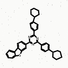 c1ccc2c(c1)sc1cc(-c3nc(-c4ccc(C5CCCCC5)cc4)nc(-c4ccc(C5CCCCC5)cc4)n3)ccc12